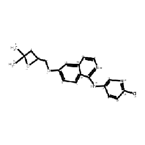 CC1(C)CC(COc2ccc3c(Nc4ccc(Cl)nc4)nccc3c2)O1